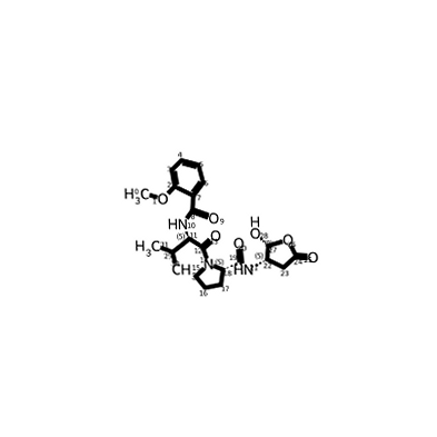 COc1ccccc1C(=O)N[C@H](C(=O)N1CCC[C@H]1C(=O)N[C@H]1CC(=O)O[C@H]1O)C(C)C